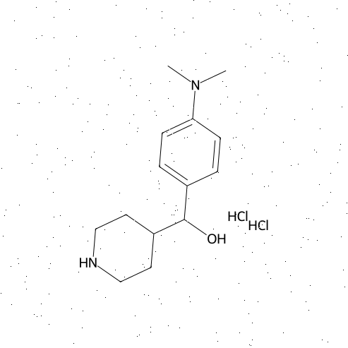 CN(C)c1ccc(C(O)C2CCNCC2)cc1.Cl.Cl